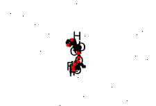 CCCc1c(OCCCCN2C(=O)NC(C)(c3cccc4ccccc34)C2=O)ccc2c1COC2(C(F)(F)F)C(F)(F)F